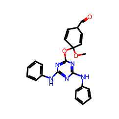 COC1(Oc2nc(Nc3ccccc3)nc(Nc3ccccc3)n2)C=CC(C=O)C=C1